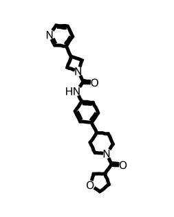 O=C(Nc1ccc(C2CCN(C(=O)C3CCOC3)CC2)cc1)N1CC(c2cccnc2)C1